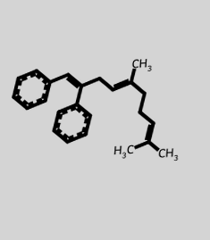 CC(C)=CCC/C(C)=C/CC(=Cc1ccccc1)c1ccccc1